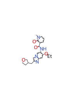 CCOc1cc2nc(CC3CCOC3)cn2cc1NC(=O)c1cccn(C)c1=O